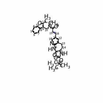 Cc1oc2ccccc2c1CN(C)C(=O)/C=C/c1cnc2c(c1)CCC(NC(=O)OC(C)(C)C)C(=O)N2